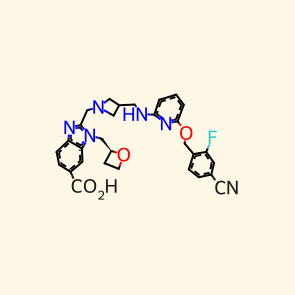 N#Cc1ccc(COc2cccc(NCC3CN(Cc4nc5ccc(C(=O)O)cc5n4C[C@@H]4CCO4)C3)n2)c(F)c1